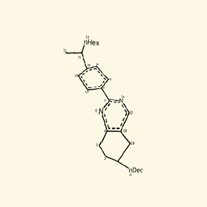 CCCCCCCCCCC1CCc2nc(-c3ccc(C(C)CCCCCC)cc3)ncc2C1